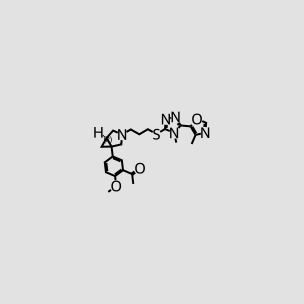 COc1ccc(C23C[C@H]2CN(CCCSc2nnc(-c4ocnc4C)n2C)C3)cc1C(C)=O